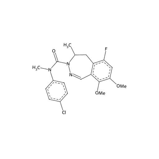 COc1cc(F)c2c(c1OC)C=NN(C(=O)N(C)c1ccc(Cl)cc1)C(C)C2